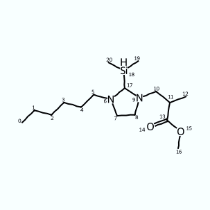 CCCCCCN1CCN(CC(C)C(=O)OC)C1[SiH](C)C